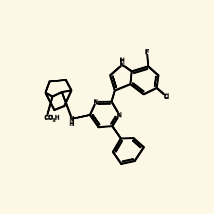 O=C(O)C1C2CCC(CC2)C1Nc1cc(-c2ccccc2)nc(-c2c[nH]c3c(F)cc(Cl)cc23)n1